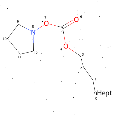 CCCCCCCCCCOC(=O)ON1CCCC1